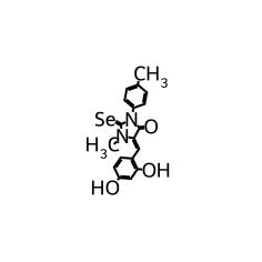 Cc1ccc(N2C(=O)C(=Cc3ccc(O)cc3O)N(C)C2=[Se])cc1